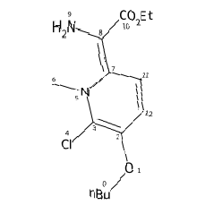 CCCCOC1=C(Cl)N(C)/C(=C(\N)C(=O)OCC)C=C1